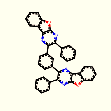 c1ccc(-c2nc3oc4ccccc4c3nc2-c2cccc(-c3nc4c(nc3-c3ccccc3)oc3ccccc34)c2)cc1